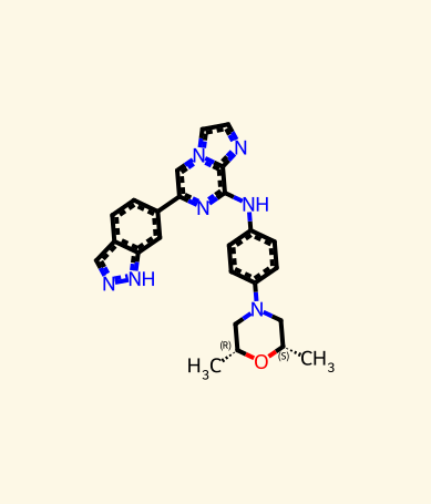 C[C@@H]1CN(c2ccc(Nc3nc(-c4ccc5cn[nH]c5c4)cn4ccnc34)cc2)C[C@H](C)O1